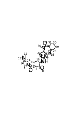 COc1cc(C(=O)N2CCC(N(C)C)C2)ccc1Nc1ncc2c(n1)N(C)c1ccccc1C(=O)N2C